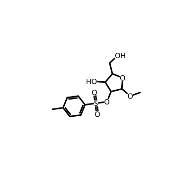 COC1OC(CO)C(O)C1OS(=O)(=O)c1ccc(C)cc1